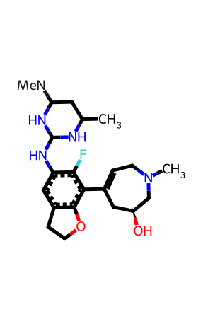 CNC1CC(C)NC(Nc2cc3c(c(C4=CCN(C)C[C@@H](O)C4)c2F)OCC3)N1